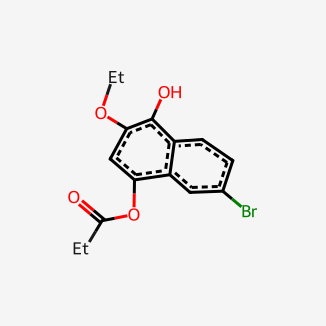 CCOc1cc(OC(=O)CC)c2cc(Br)ccc2c1O